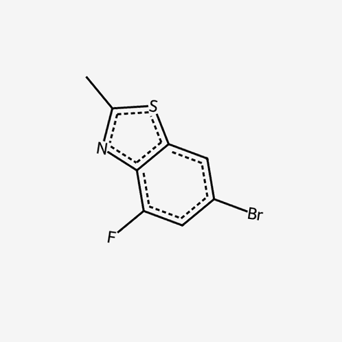 Cc1nc2c(F)cc(Br)cc2s1